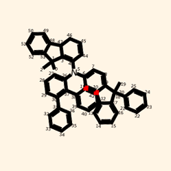 CC1(C)C2=C(N(c3ccc4c(c3)-c3ccccc3C4(C)c3ccccc3)c3cccc(-c4ccccc4)c3-c3ccccc3)C=CCC2c2ccccc21